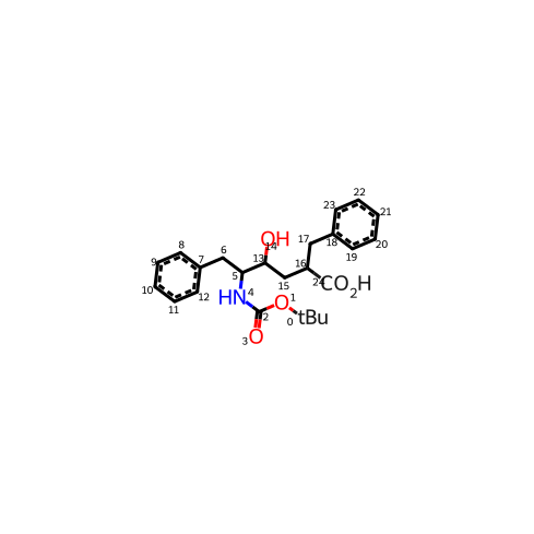 CC(C)(C)OC(=O)NC(Cc1ccccc1)C(O)CC(Cc1ccccc1)C(=O)O